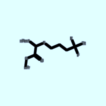 CCCCCC(SCCCC(F)(F)CC)C(=O)OCCC